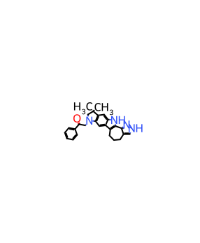 CC1(C)CN(CC(=O)c2ccccc2)c2cc3c4c([nH]c3cc21)-c1n[nH]cc1CCC4